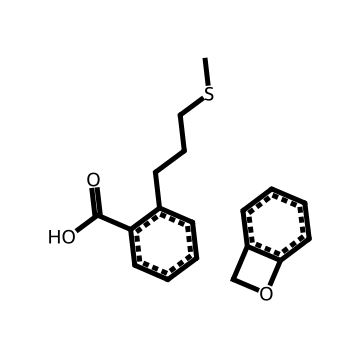 CSCCCc1ccccc1C(=O)O.c1ccc2c(c1)CO2